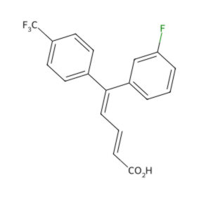 O=C(O)/C=C/C=C(/c1ccc(C(F)(F)F)cc1)c1cccc(F)c1